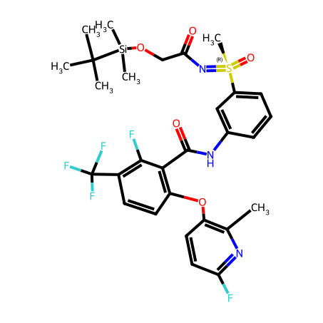 Cc1nc(F)ccc1Oc1ccc(C(F)(F)F)c(F)c1C(=O)Nc1cccc([S@@](C)(=O)=NC(=O)CO[Si](C)(C)C(C)(C)C)c1